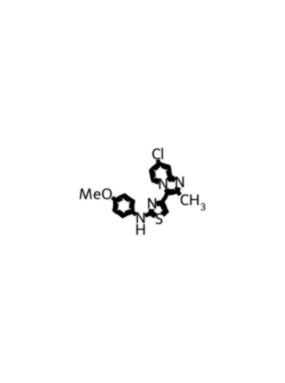 COc1ccc(Nc2nc(-c3c(C)nc4cc(Cl)ccn34)cs2)cc1